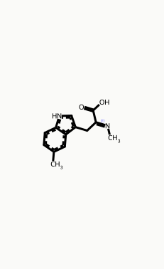 C/N=C(\Cc1c[nH]c2ccc(C)cc12)C(=O)O